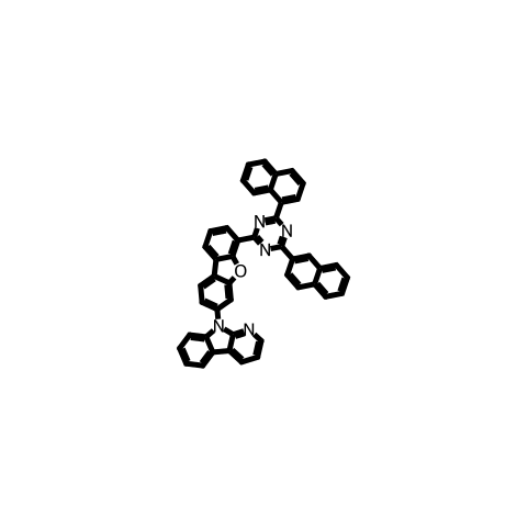 c1ccc2cc(-c3nc(-c4cccc5ccccc45)nc(-c4cccc5c4oc4cc(-n6c7ccccc7c7cccnc76)ccc45)n3)ccc2c1